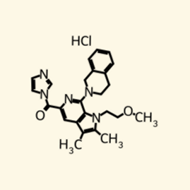 COCCn1c(C)c(C)c2cc(C(=O)n3ccnc3)nc(N3CCc4ccccc4C3)c21.Cl